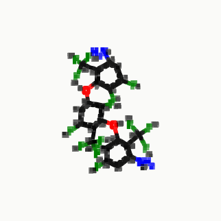 Nc1cc(F)c(F)c(Oc2cc(F)c(C(F)(F)F)c(Oc3c(F)c(F)cc(N)c3C(F)(F)F)c2F)c1C(F)(F)F